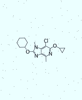 Cc1nc(OC2CC2)c(Cl)c2c1nc(OC1CCCCC1)n2C